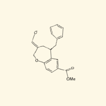 COC(=O)c1ccc2c(c1)C(Cc1ccccc1)CC(=CCl)CO2